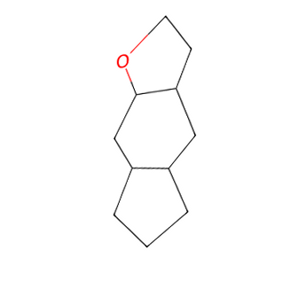 C1CC2CC3CCOC3CC2C1